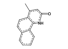 Cc1cc(=O)[nH]c2c1ccc1ccccc12